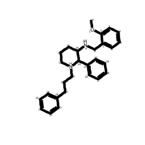 COc1ccccc1CNC1CCCN(CCCc2ccccc2)C1c1ccccc1